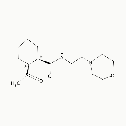 CC(=O)[C@H]1CCCC[C@H]1C(=O)NCCN1CCOCC1